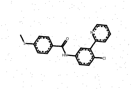 CSc1ccc(C(=O)Nc2ccc(Cl)c(-c3ccccn3)c2)cc1